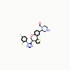 O=CN1CCNCC1c1ccc2c(c1)-c1sccc1C(c1ncnn1-c1ccc(F)cc1F)CO2